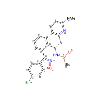 CNc1cccc(C[C@H](N[S+]([O-])C(C)(C)C)c2ccccc2-c2noc3cc(Br)ccc23)n1